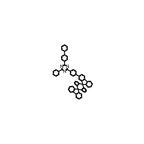 c1ccc(-c2ccc(-c3nc(-c4ccccc4)nc(-c4ccc(-c5ccc6c(c5)C5(c7ccccc7-6)c6ccccc6C6(c7ccccc7-c7ccccc76)c6ccccc65)cc4)n3)cc2)cc1